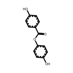 O=C(Oc1ccc(O)cc1)c1ccc(O)cc1